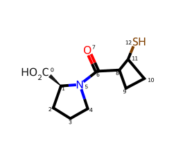 O=C(O)[C@@H]1CCCN1C(=O)C1CCC1S